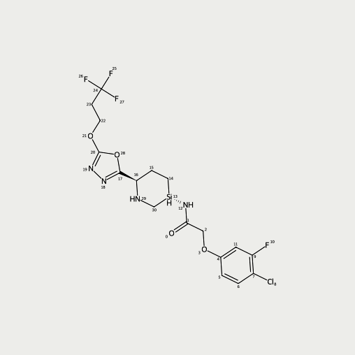 O=C(COc1ccc(Cl)c(F)c1)N[Si@H]1CC[C@H](c2nnc(OCCC(F)(F)F)o2)NC1